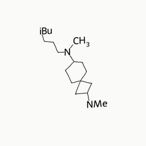 CCC(C)CCCN(C)C1CCC2(CC1)CC(NC)C2